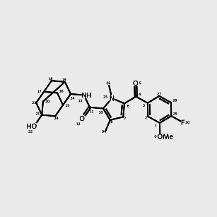 COc1cc(C(=O)c2cc(C)c(C(=O)NC3C4CC5CC3CC(O)(C5)C4)n2C)ccc1F